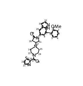 COc1ccccc1-c1cc(N2CC(N3CCN(C(=O)c4nccs4)CC3)CC2=O)cc2cc[nH]c12